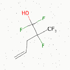 C=CCC(F)(C(O)(F)F)C(F)(F)F